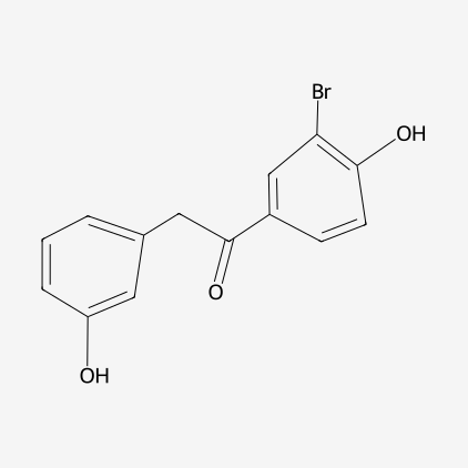 O=C(Cc1cccc(O)c1)c1ccc(O)c(Br)c1